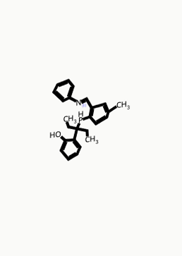 CCC(CC)(Pc1ccc(C)cc1/C=N/c1ccccc1)c1ccccc1O